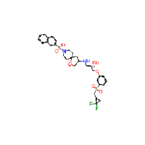 O=S(=O)(CC1CC1(F)F)c1cccc(OC[C@@H](O)CNC2COC3(CCN(S(=O)(=O)c4ccc5ccccc5c4)CC3)C2)c1